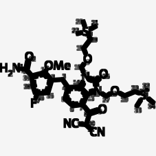 COc1c(Cc2ccc(C(=O)C(C#N)C#N)c3c2n(COCC[Si](C)(C)C)c(=O)n3COCC[Si](C)(C)C)cc(F)cc1C(N)=O